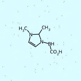 CC1N(C)C=CN1BC(=O)O